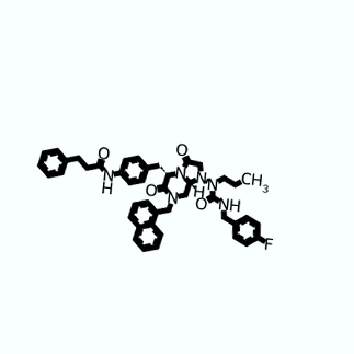 CCCN(C(=O)NCc1ccc(F)cc1)N1CC(=O)N2[C@@H](Cc3ccc(NC(=O)CCc4ccccc4)cc3)C(=O)N(Cc3cccc4ccccc34)C[C@@H]21